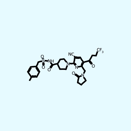 Cc1ccc(CS(=O)(=O)NC(=O)C2CCN(c3nc(CN4CCCC4=O)c(C(=O)CCC(F)(F)F)cc3C#N)CC2)cc1